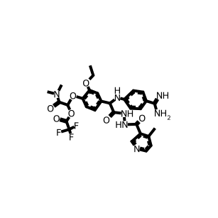 CCOc1cc(C(Nc2ccc(C(=N)N)cc2)C(=O)NNC(=O)c2cnccc2C)ccc1OC(OC(=O)C(F)(F)F)C(=O)N(C)C